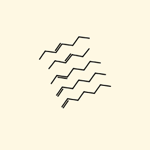 C=CCCCCC.C=CCCCCC.CC=CCCCC.CCC=CCC.CCC=CCCC